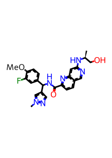 COc1ccc(C(NC(=O)c2ccc3cnc(N[C@@H](C)CO)cc3n2)c2cnn(C)c2)cc1F